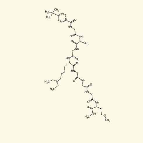 CCN(CC)CCCC[C@H](NC(=O)CNC(=O)[C@H](C)NC(=O)CNC(=O)c1ccc(C(C)(C)C)cc1)C(=O)NCC(=O)NCC(=O)NCC(=O)N[C@@H](CCSC)C(=O)NC